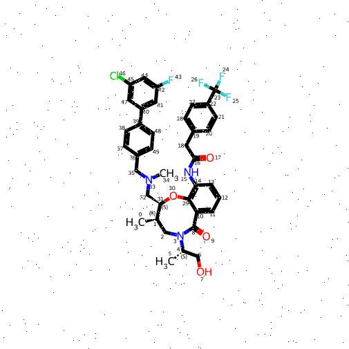 C[C@@H]1CN([C@@H](C)CO)C(=O)c2cccc(NC(=O)Cc3ccc(C(F)(F)F)cc3)c2O[C@@H]1CN(C)Cc1ccc(-c2cc(F)cc(Cl)c2)cc1